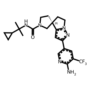 CC(C)(NC(=O)N1CC[C@@]2(CCn3nc(-c4cnc(N)c(C(F)(F)F)c4)cc32)C1)C1CC1